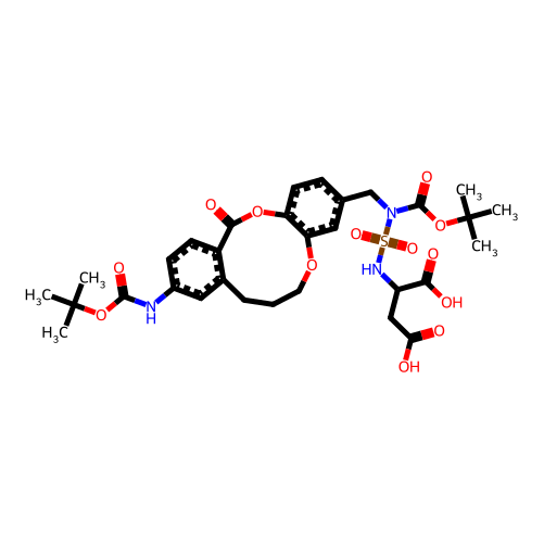 CC(C)(C)OC(=O)Nc1ccc2c(c1)CCCOc1cc(CN(C(=O)OC(C)(C)C)S(=O)(=O)NC(CC(=O)O)C(=O)O)ccc1OC2=O